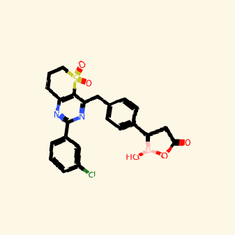 O=C1CC(c2ccc(Cc3nc(-c4cccc(Cl)c4)nc4c3S(=O)(=O)CCC4)cc2)B(O)O1